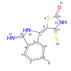 Cc1ccc2c(c1)C(=C1SC(=O)NC1=S)NC2=N